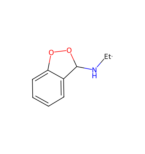 C[CH]NC1OOc2ccccc21